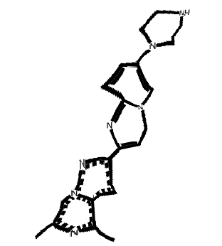 Cc1cn2nc(C3=CCN4C=C(N5CCNCC5)C=CC4=N3)cc2c(C)n1